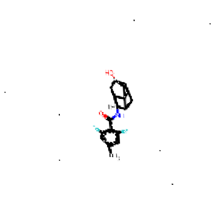 Bc1cc(F)c(C(=O)N[C@H]2C3CC4CC2C[C@](O)(C4)C3)c(F)c1